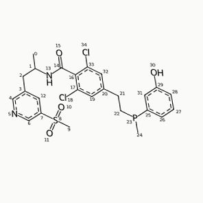 CC(Cc1cncc(S(C)(=O)=O)c1)NC(=O)c1c(Cl)cc(CCP(C)c2cccc(O)c2)cc1Cl